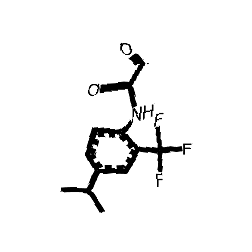 CC(C)c1ccc(NC(=O)[C]=O)c(C(F)(F)F)c1